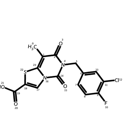 Cc1c(=O)n(Cc2ccc(F)c(Cl)c2)c(=O)n2cc(C(=O)O)sc12